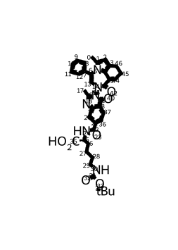 Cc1cc2c3n1C(c1ccccc1)=CN(n1c(C)nc4cc(C(=O)N[C@@H](CCCCNC(=O)OC(C)(C)C)C(=O)O)ccc4c1=O)C(=O)C3=CCC2